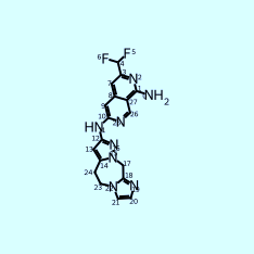 Nc1nc(C(F)F)cc2cc(Nc3cc4n(n3)Cc3nccn3CC4)ncc12